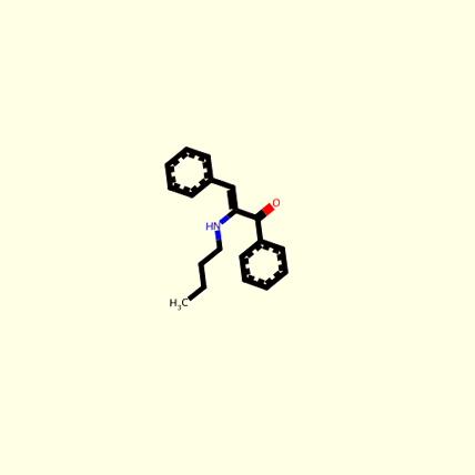 CCCCNC(=Cc1ccccc1)C(=O)c1ccccc1